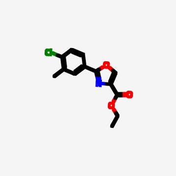 CCOC(=O)c1coc(-c2ccc(Cl)c(C)c2)n1